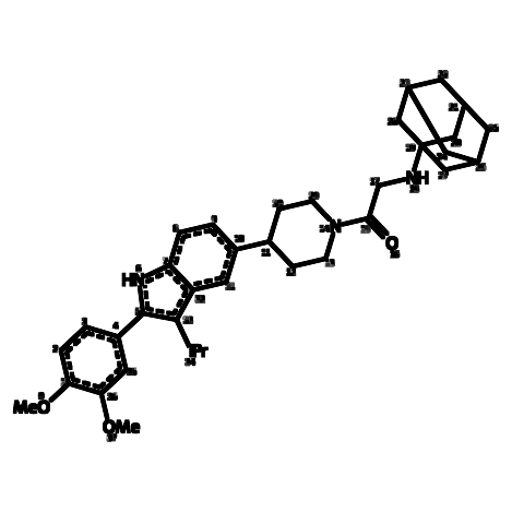 COc1ccc(-c2[nH]c3ccc(C4CCN(C(=O)CNC56CC7CC(CC(C7)C5)C6)CC4)cc3c2C(C)C)cc1OC